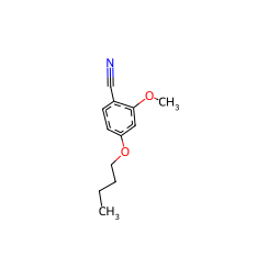 CCCCOc1ccc(C#N)c(OC)c1